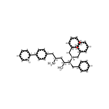 N[C@@H](Cc1ccc(-c2ccccn2)cc1)C[C@H](O)[C@H](Cc1ccccc1)N(Cc1ccccc1)Cc1ccccc1